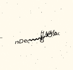 CCCCCCCCCCCCCCCCCC(=O)NCCCC(N)OC(C)=O